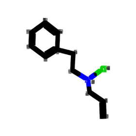 C=CCN(Cl)CCc1ccccc1